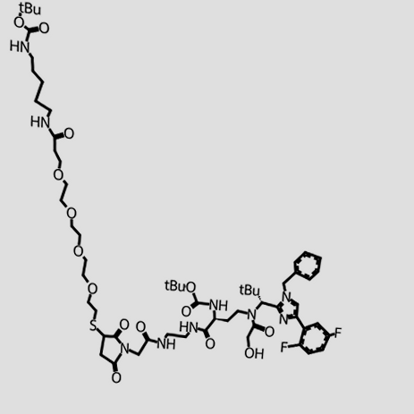 CC(C)(C)OC(=O)NCCCCCNC(=O)CCOCCOCCOCCOCCSC1CC(=O)N(CC(=O)NCCNC(=O)[C@H](CCN(C(=O)CO)[C@@H](c2nc(-c3cc(F)ccc3F)cn2Cc2ccccc2)C(C)(C)C)NC(=O)OC(C)(C)C)C1=O